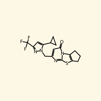 O=c1cc(Cn2nc(C(F)(F)F)cc2C2CC2)nc2sc3c(n12)CCC3